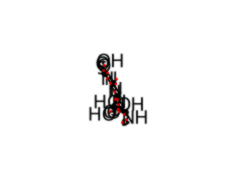 Cc1cc(N=Nc2cc(O)c(N=Nc3c(SOOO)cc4cc(Nc5ccccc5)ccc4c3O)cc2C)c(C)cc1N=Nc1ccc(SOOO)cc1